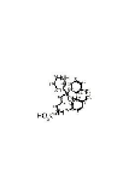 Cc1ccc(F)c(-c2c(F)cccc2[C@](O)(CCCNC(=O)O)C2CCCNC2)c1